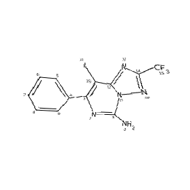 Nc1nc(-c2ccccc2)c(I)c2nc(C(F)(F)F)nn12